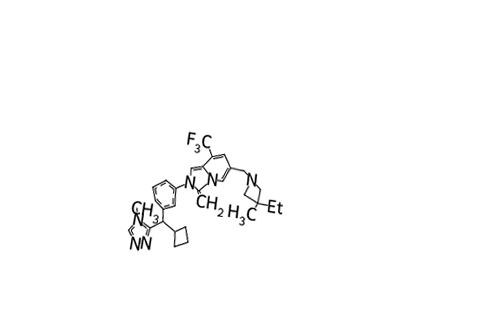 C=C1N2C=C(CN3CC(C)(CC)C3)C=C(C(F)(F)F)C2=CN1c1cccc(C(c2nncn2C)C2CCC2)c1